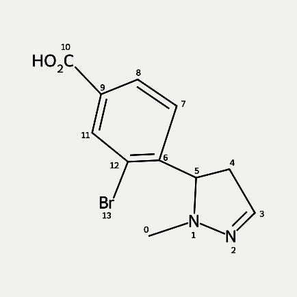 CN1N=CCC1c1ccc(C(=O)O)cc1Br